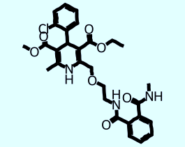 CCOC(=O)C1=C(COCCNC(=O)c2ccccc2C(=O)NC)NC(C)=C(C(=O)OC)C1c1ccccc1Cl